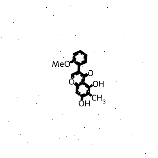 COc1ccccc1-c1coc2cc(O)c(C)c(O)c2c1=O